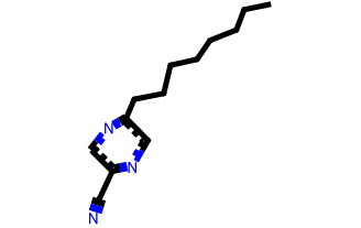 CCCCCCCCc1cnc(C#N)cn1